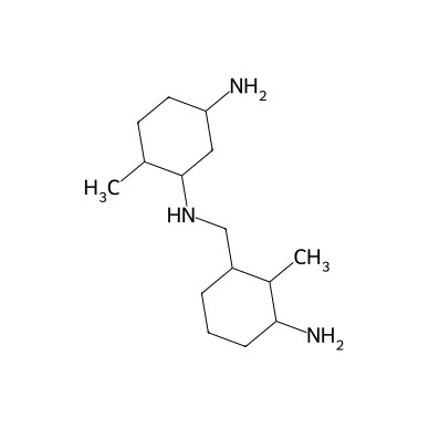 CC1CCC(N)CC1NCC1CCCC(N)C1C